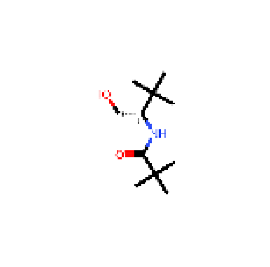 CC(C)(C)C(=O)N[C@H](CO)C(C)(C)C